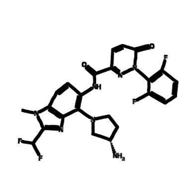 Cn1c(C(F)F)nc2c(N3CC[C@H](N)C3)c(NC(=O)c3ccc(=O)n(-c4c(F)cccc4F)n3)ccc21